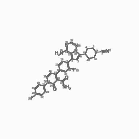 N#C[C@H]1CC[C@H](c2cc(-c3ccc(-c4ccn(-c5ccc(F)cc5)c(=O)c4C(N)=O)cc3F)c3c(N)ncnn32)CC1